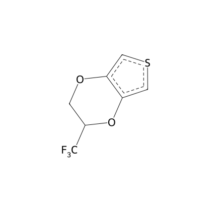 FC(F)(F)C1COc2cscc2O1